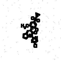 Cc1cc(S(=O)(=O)C2CC2)cc(=O)n1[C@H](CC1CCCC1)C(=O)Nc1ncc(Cl)s1